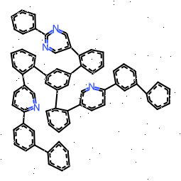 c1ccc(-c2cccc(-c3ccc(-c4ccccc4-c4cc(-c5ccccc5-c5ccc(-c6cccc(-c7ccccc7)c6)nc5)cc(-c5ccccc5-c5cnc(-c6ccccc6)nc5)c4)cn3)c2)cc1